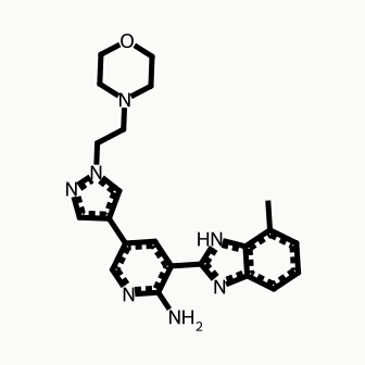 Cc1cccc2nc(-c3cc(-c4cnn(CCN5CCOCC5)c4)cnc3N)[nH]c12